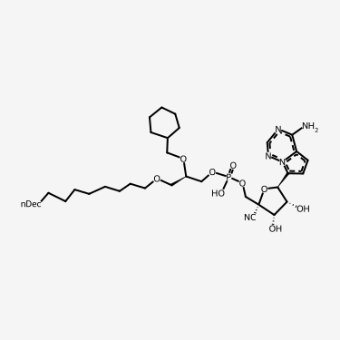 CCCCCCCCCCCCCCCCCCOC[C@H](COP(=O)(O)OC[C@@]1(C#N)O[C@@H](c2ccc3c(N)ncnn23)[C@H](O)[C@@H]1O)OCC1CCCCC1